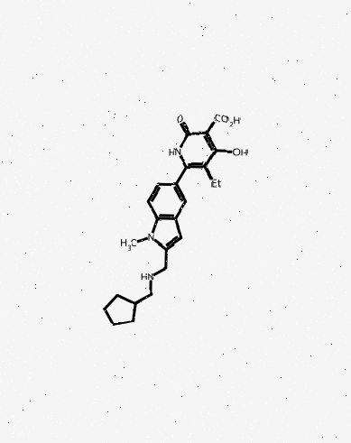 CCc1c(-c2ccc3c(c2)cc(CNCC2CCCC2)n3C)[nH]c(=O)c(C(=O)O)c1O